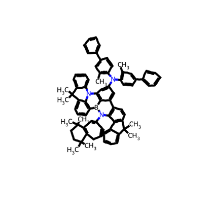 Cc1cc(-c2ccccc2)ccc1N(c1cc2c3c(c1)N1c4ccccc4C(C)(C)c4cccc(c41)B3N(C1=CC3=C(CC#C1)C(C)(C)CCC3(C)C)c1c-2ccc2c1-c1ccccc1C2(C)C)c1ccc(-c2ccccc2)cc1C